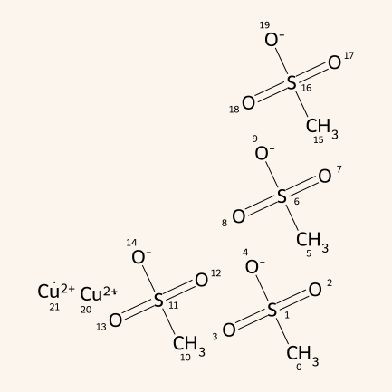 CS(=O)(=O)[O-].CS(=O)(=O)[O-].CS(=O)(=O)[O-].CS(=O)(=O)[O-].[Cu+2].[Cu+2]